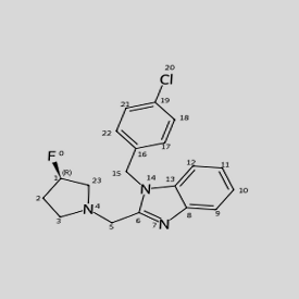 F[C@@H]1CCN(Cc2nc3ccccc3n2Cc2ccc(Cl)cc2)C1